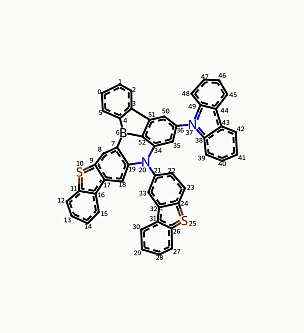 c1ccc2c(c1)B1c3cc4sc5ccccc5c4cc3N(c3ccc4sc5ccccc5c4c3)c3cc(-n4c5ccccc5c5ccccc54)cc-2c31